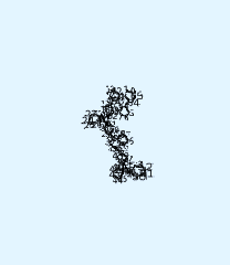 c1ccc(-c2ccccc2-c2ccccc2-c2ccc(N(c3ccccc3)c3ccc(-c4ccc(-c5ccc6c(c5)c5ccccc5n6-c5ccccc5)c5ccccc45)cc3)cc2)cc1